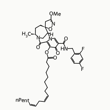 CCCCC/C=C\C/C=C\CCCCCCCC(=O)Oc1c2n(cc(C(=O)NCc3ccc(F)cc3F)c1=O)[C@@H]1CN(C2=O)[C@@H](C)CC[C@]12CC(OC)=NO2